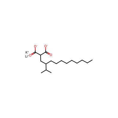 CCCCCCCCCC(CC(C(=O)[O-])C(=O)[O-])C(C)C.[K+].[Li+]